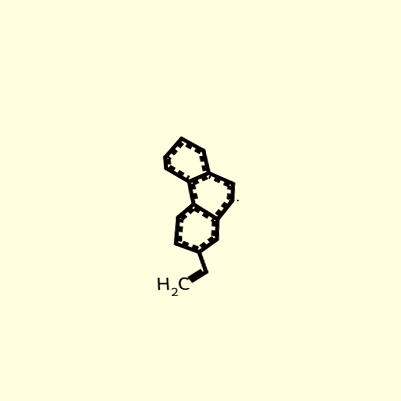 C=Cc1ccc2c([c]cc3ccccc32)c1